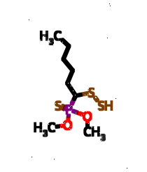 CCCCCC(SS)P(=S)(OC)OC